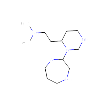 CN(C)CCC1CCNCN1C1CNCCC[N]1